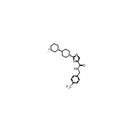 C[C@@H]1CCCN(C2CCN(c3ncc(C(=O)NCc4ccc(C(F)(F)F)cc4)s3)CC2)C1